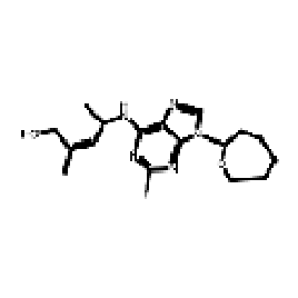 C/C(=C/C(C)Nc1nc(F)nc2c1ncn2C1CCCCCO1)CO